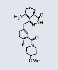 COC1CCN(C(=O)c2cc(Cc3n[nH]c(=O)c4cccc(N)c34)ccc2F)CC1